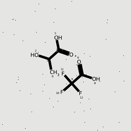 CC(O)C(=O)O.O=C(O)C(F)(F)F